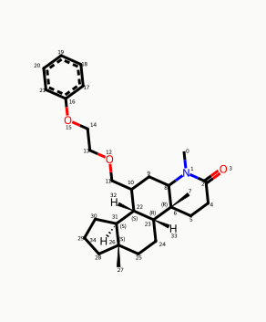 CN1C(=O)CC[C@@]2(C)C1CC(COCCOc1ccccc1)[C@@H]1[C@H]2CC[C@]2(C)CCC[C@@H]12